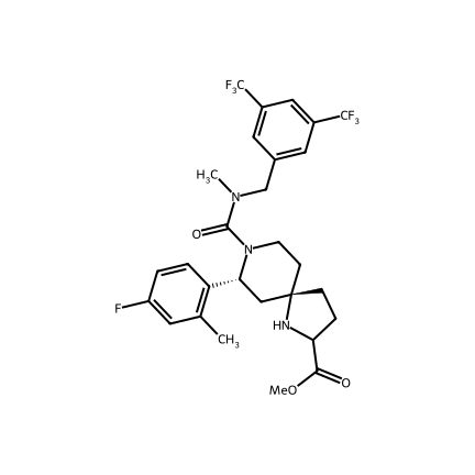 COC(=O)C1CC[C@@]2(CCN(C(=O)N(C)Cc3cc(C(F)(F)F)cc(C(F)(F)F)c3)[C@@H](c3ccc(F)cc3C)C2)N1